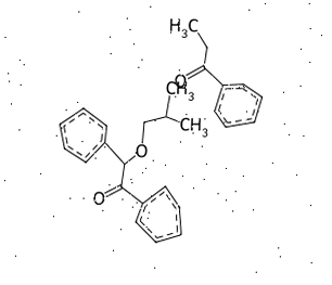 CC(C)COC(C(=O)c1ccccc1)c1ccccc1.CCC(=O)c1ccccc1